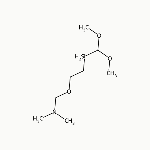 COC(OC)[SiH2]CCOCN(C)C